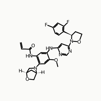 C=CC(=O)Nc1cc(Nc2cc(N3OCC[C@@H]3c3ccc(F)cc3F)ncn2)c(OC)cc1N1C[C@H]2C[C@@H]1CO2